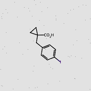 O=C(O)C1(Cc2ccc(I)cc2)CC1